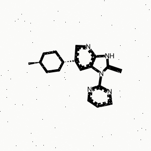 C=C1Nc2ncc([C@H]3CC[C@H](C)CC3)cc2N1c1ncccn1